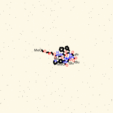 COCCOCCOCCOC(=O)N[C@H](C(=O)N[C@@H](Cc1ccccc1)[C@H](CN(Cc1ccc(-c2ccccn2)cc1)NC(=O)[C@@H](NC(=O)OC)C(C)(C)C)OC(=O)[C@H](Cc1ccccc1)NC(=O)[C@@H](NC(=O)OC(C)(C)C)C(C)C)C(C)(C)C